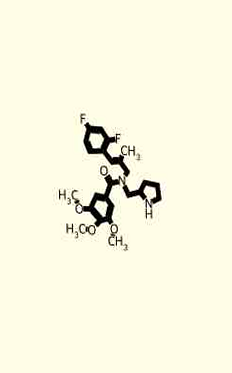 COc1cc(C(=O)N(CC(C)=Cc2ccc(F)cc2F)CC2CCCN2)cc(OC)c1OC